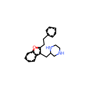 c1ccc(CCc2oc3ccccc3c2CC2CNCCN2)cc1